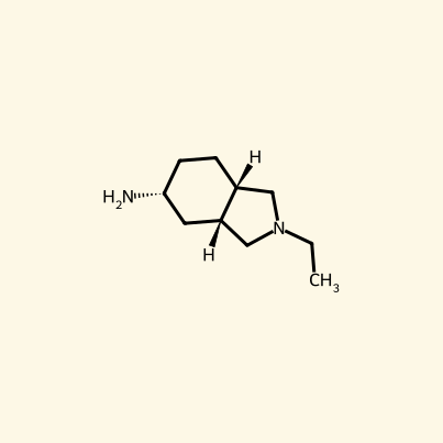 CCN1C[C@H]2CC[C@@H](N)C[C@H]2C1